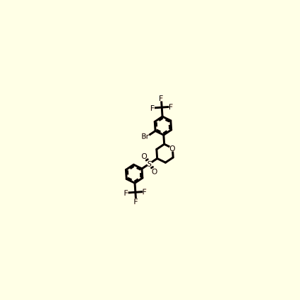 O=S(=O)(c1cccc(C(F)(F)F)c1)C1CCOC(c2ccc(C(F)(F)F)cc2Br)C1